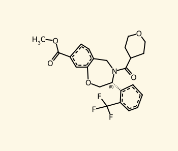 COC(=O)c1ccc2c(c1)OC[C@@H](c1ccccc1C(F)(F)F)N(C(=O)C1CCOCC1)C2